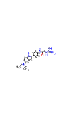 CCN(CC)c1ccc2c(c1)CC(c1ccc(NC(=O)CNC(=N)N)cc1)N2